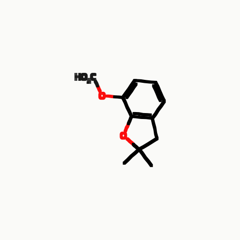 CC1(C)Cc2cccc(OC(=O)O)c2O1